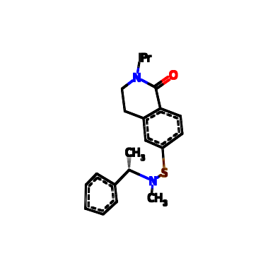 CC(C)N1CCc2cc(SN(C)[C@@H](C)c3ccccc3)ccc2C1=O